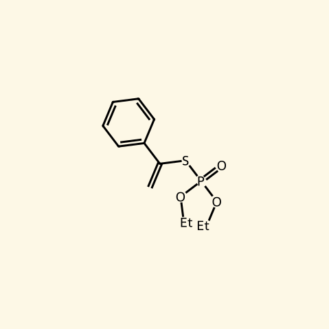 C=C(SP(=O)(OCC)OCC)c1ccccc1